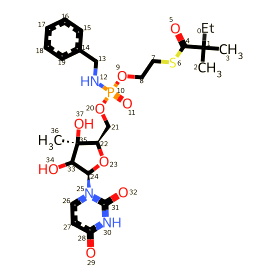 CCC(C)(C)C(=O)SCCOP(=O)(NCc1ccccc1)OC[C@H]1O[C@@H](n2ccc(=O)[nH]c2=O)C(O)[C@@]1(C)O